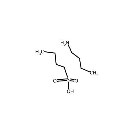 CCCCN.CCCCS(=O)(=O)O